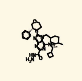 CC1CCC(Cn2c(N3CCOC[C@H]3c3ccccc3)nc3nc(C(=O)NN)nc(N[C@H](C)C4CCC4)c32)CC1